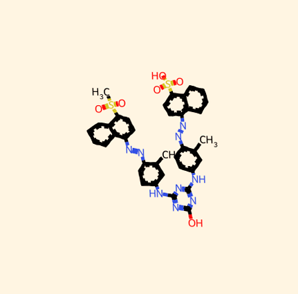 Cc1cc(Nc2nc(O)nc(Nc3ccc(/N=N/c4ccc(S(=O)(=O)O)c5ccccc45)c(C)c3)n2)ccc1/N=N/c1ccc(S(C)(=O)=O)c2ccccc12